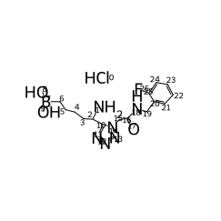 Cl.NC(CCCCB(O)O)c1nnnn1CC(=O)NCc1ccccc1F